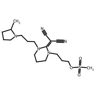 CC1CCCN1CCCN1CCCN(CCCOS(C)(=O)=O)C1=C(C#N)C#N